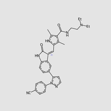 CCN(CC)CCNC(=O)c1c(C)[nH]c(/C=C2\C(=O)Nc3ccc(-c4ccnn4-c4ccc(C#N)cc4)cc32)c1C